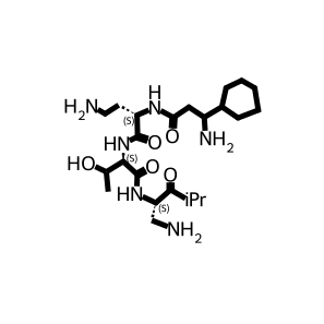 CC(C)C(=O)[C@H](CN)NC(=O)[C@@H](NC(=O)[C@H](CCN)NC(=O)CC(N)C1CCCCC1)C(C)O